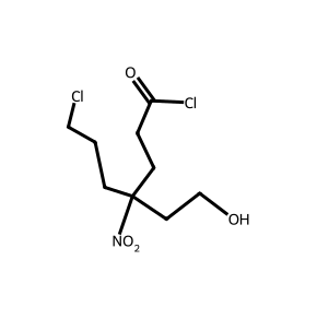 O=C(Cl)CCC(CCO)(CCCCl)[N+](=O)[O-]